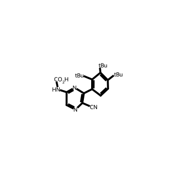 CC(C)(C)c1ccc(-c2nc(NC(=O)O)cnc2C#N)c(C(C)(C)C)c1C(C)(C)C